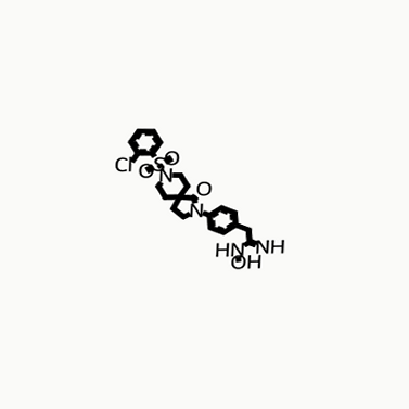 N=C(Cc1ccc(N2CCC3(CCN(S(=O)(=O)c4ccccc4Cl)CC3)C2=O)cc1)NO